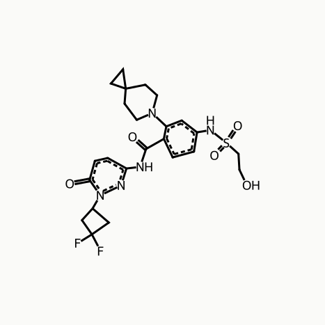 O=C(Nc1ccc(=O)n(C2CC(F)(F)C2)n1)c1ccc(NS(=O)(=O)CCO)cc1N1CCC2(CC1)CC2